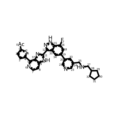 CC(=O)c1ccc(-c2nccc3[nH]c(-c4n[nH]c5c(F)cc(-c6cncc(CNCC7CCCC7)c6)cc45)nc23)s1